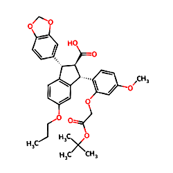 CCCOc1ccc2c(c1)[C@@H](c1ccc(OC)cc1OCC(=O)OC(C)(C)C)[C@H](C(=O)O)[C@H]2c1ccc2c(c1)OCO2